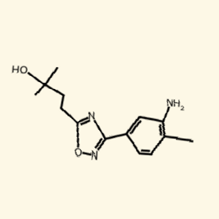 Cc1ccc(-c2noc(CCC(C)(C)O)n2)cc1N